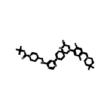 CC1(C)CCN(Cc2cc(F)c(N3CC(=O)NC4(CCN(c5cc(NCC6CCN(C(=O)OC(C)(C)C)CC6)ncn5)CC4)C3)cc2F)CC1